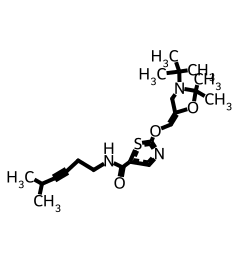 CC(C)C#CCCNC(=O)c1cnc(OC=C2CN(C(C)(C)C)C(C)(C)O2)s1